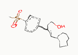 CS(=O)(=O)c1ccc(C(=CC2CCCC2)CO)cc1